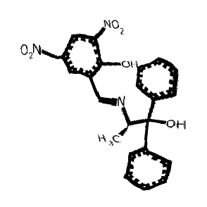 C[C@@H](N=Cc1cc([N+](=O)[O-])cc([N+](=O)[O-])c1O)C(O)(c1ccccc1)c1ccccc1